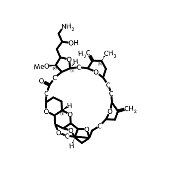 C=C1CC2CCC34COC5C6O[C@H](C3)C(O4)C6O[C@H]3CCC(CC(=O)CC4[C@@H](OC)C(CC(O)CN)O[C@H]4CC4OC(CCC1O2)C[C@@H](C)C4=C)OC53